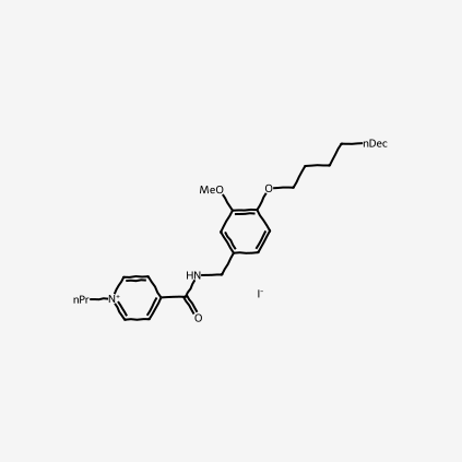 CCCCCCCCCCCCCCOc1ccc(CNC(=O)c2cc[n+](CCC)cc2)cc1OC.[I-]